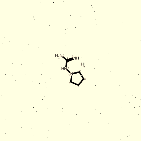 I.N=C(N)NN1CCCC1